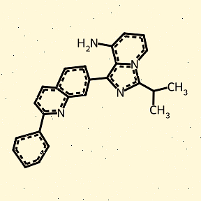 CC(C)c1nc(-c2ccc3ccc(-c4ccccc4)nc3c2)c2c(N)cccn12